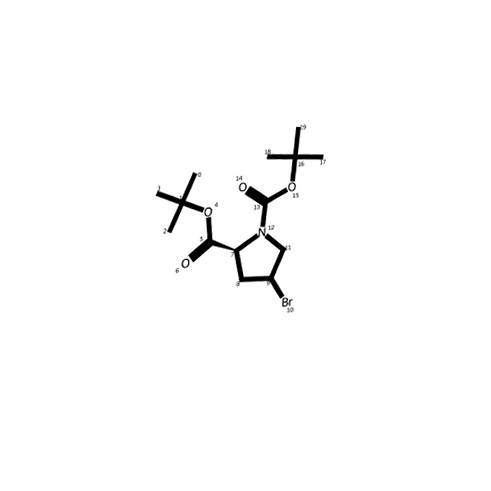 CC(C)(C)OC(=O)[C@@H]1CC(Br)CN1C(=O)OC(C)(C)C